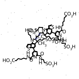 CC1(CCCS(=O)(=O)O)C(/C=C/C=C2/N(CCCS(=O)(=O)O)c3c(cc(-c4cc(C(=O)NCCCCCC(=O)O)nc(C(=O)NCCS(=O)(=O)O)c4)c4sccc34)C2(C)CCCS(=O)(=O)O)=[N+](CCCS(=O)(=O)O)c2c1cc(-c1cc(C(=O)NCCCCCC(=O)O)nc(C(=O)NCCS(=O)(=O)O)c1)c1sccc21